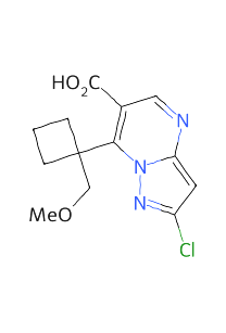 COCC1(c2c(C(=O)O)cnc3cc(Cl)nn23)CCC1